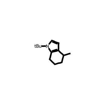 CC1CCCc2c1ccn2C(C)(C)C